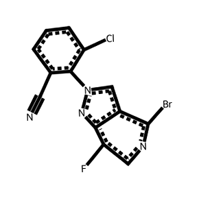 N#Cc1cccc(Cl)c1-n1cc2c(Br)ncc(F)c2n1